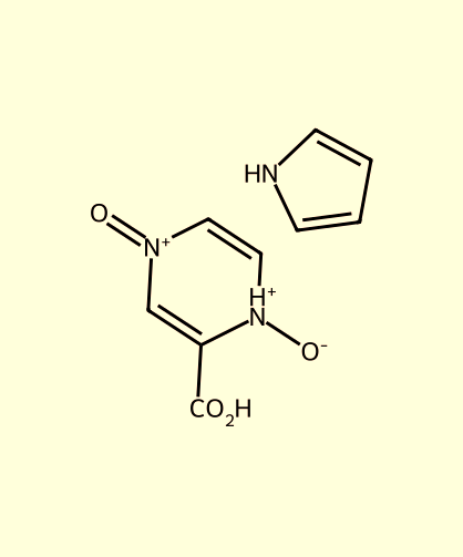 O=C(O)C1=C[N+](=O)C=C[NH+]1[O-].c1cc[nH]c1